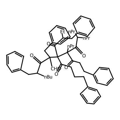 CCCCC(Cc1ccccc1)C(=O)C([C]=O)(Cc1ccccc1)C(C(=O)CCCc1ccccc1)(C(=O)C(CC)Cc1ccccc1)C(CCC)(C(=O)CCc1ccccc1)C(=O)C(CCC)CCC